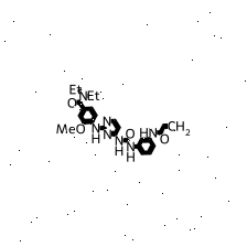 C=CC(=O)Nc1cccc(NC(=O)Nc2ccnc(Nc3ccc(C(=O)N(CC)CC)cc3OC)n2)c1